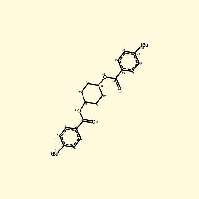 CC(C)(C)c1ccc(C(=O)OC2CCC(OC(=O)c3ccc(C(C)(C)C)cc3)CC2)cc1